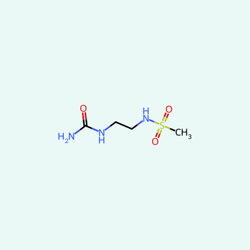 CS(=O)(=O)NCCNC(N)=O